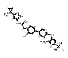 [2H]C([2H])([2H])n1cc(Nc2ncc(-c3ccc(CC(=O)Nc4cc(C5(C(F)(F)F)CC5)on4)c(F)c3)cn2)c(OC)n1